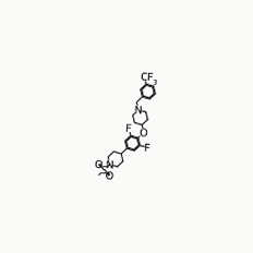 CS(=O)(=O)N1CCC(c2cc(F)c(OC3CCN(Cc4cccc(C(F)(F)F)c4)CC3)c(F)c2)CC1